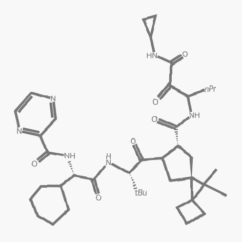 CCCC(NC(=O)[C@@H]1C[C@@]2(CC1C(=O)[C@@H](NC(=O)[C@@H](NC(=O)c1cnccn1)C1CCCCC1)C(C)(C)C)C(C)(C)C21CCC1)C(=O)C(=O)NC1CC1